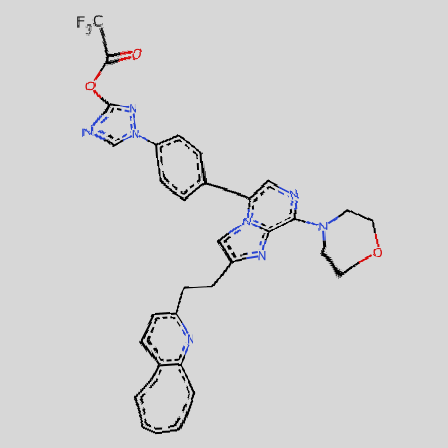 O=C(Oc1ncn(-c2ccc(-c3cnc(N4CCOCC4)c4nc(CCc5ccc6ccccc6n5)cn34)cc2)n1)C(F)(F)F